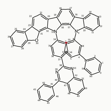 c1ccc(-c2cccc(-n3c4ccccc4c4ccc5c6ccc7c8ccccc8oc7c6n(-c6ccc(-c7nc(-c8ccccc8)c8ccccc8n7)cc6)c5c43)c2)cc1